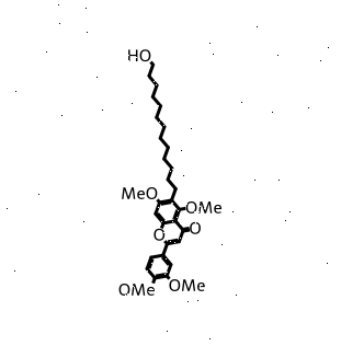 COc1ccc(-c2cc(=O)c3c(OC)c(CCCCCCCCCCCCCO)c(OC)cc3o2)cc1OC